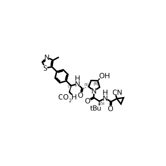 Cc1ncsc1-c1ccc([C@H](CC(=O)O)NC(=O)[C@@H]2C[C@@H](O)CN2C(=O)[C@@H](NC(=O)C2(C#N)CC2)C(C)(C)C)cc1